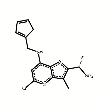 Cc1c([C@H](C)N)sc2c(NCC3=CC=CC3)cc(Cl)nc12